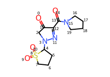 O=C1CN(C2CCCS2(=O)=O)N=C1C(=O)N1CCCC1